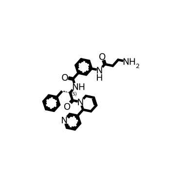 NCCC(=O)Nc1cccc(C(=O)N[C@@H](Cc2ccccc2)C(=O)N2CC=CCC2c2cccnc2)c1